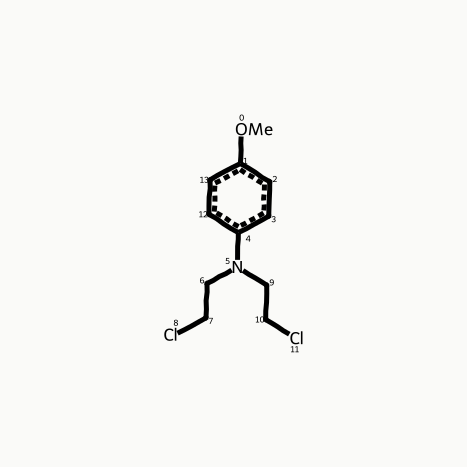 COc1ccc(N(CCCl)CCCl)cc1